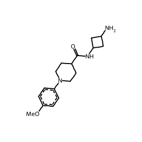 COc1ccc(N2CCC(C(=O)NC3CC(N)C3)CC2)cc1